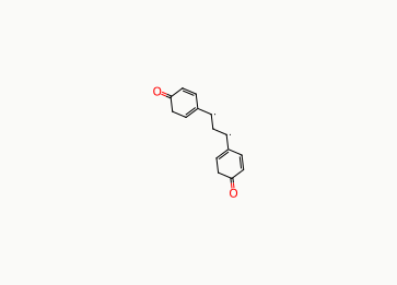 O=C1C=CC([CH]C[CH]C2=CCC(=O)C=C2)=CC1